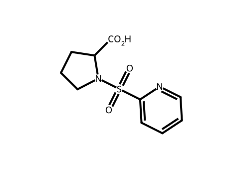 O=C(O)C1CCCN1S(=O)(=O)c1ccccn1